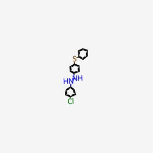 Clc1ccc(NNc2ccc(Sc3ccccc3)cc2)cc1